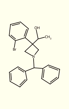 CC(O)C1(c2ccccc2Br)CN(C(c2ccccc2)c2ccccc2)C1